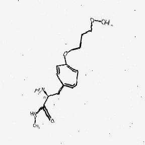 CNC(=O)[C@@H](N)Cc1ccc(OCCCOC)cc1